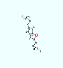 C=CCC1=CC2=CC(CC=C)OC2=C1